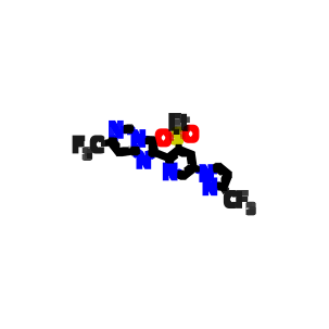 CCS(=O)(=O)c1cc(-n2ccc(C(F)(F)F)n2)cnc1-c1cn2cnc(C(F)(F)F)cc2n1